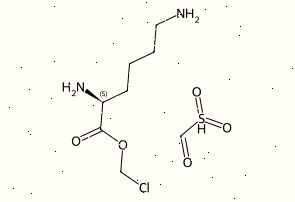 NCCCC[C@H](N)C(=O)OCCl.O=C[SH](=O)=O